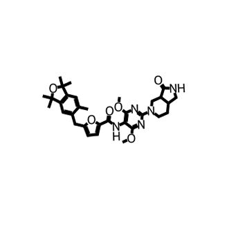 COc1nc(N2CCC3CNC(=O)C3C2)nc(OC)c1NC(=O)c1ccc(Cc2cc3c(cc2C)C(C)(C)OC3(C)C)o1